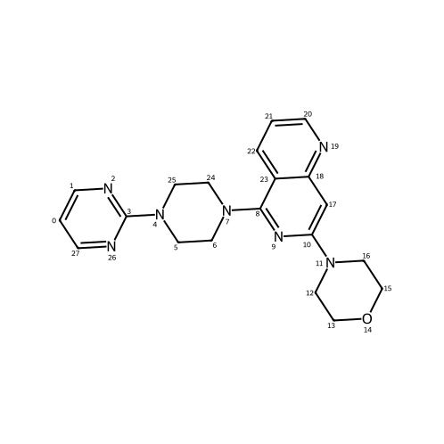 c1cnc(N2CCN(c3nc(N4CCOCC4)cc4ncccc34)CC2)nc1